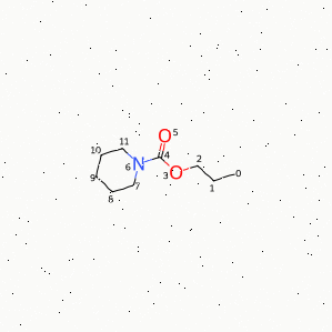 CCCOC(=O)N1CCCCC1